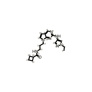 CCn1cc(Nc2ncc3ccn(CCCNC(=O)C4CCC4)c3n2)cn1